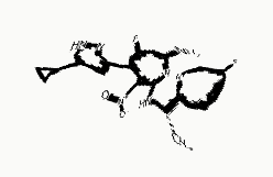 C[C@H](Nc1nc(N)c(F)c(-c2cc(C3CC3)[nH]n2)c1[N+](=O)[O-])c1ccc(F)cn1